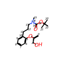 C=C(CO)Oc1ccccc1CCCN(C)C(=O)OC(C)(C)C